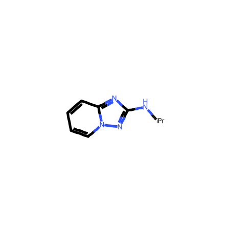 CC(C)Nc1nc2ccccn2n1